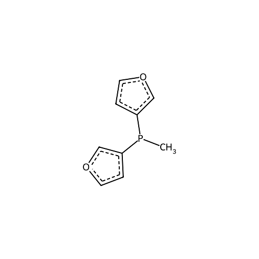 CP(c1ccoc1)c1ccoc1